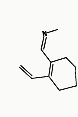 C=CC1=C(/C=N\C)CCCC1